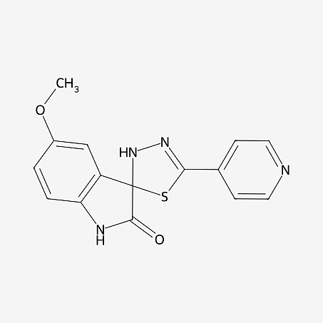 COc1ccc2c(c1)C1(NN=C(c3ccncc3)S1)C(=O)N2